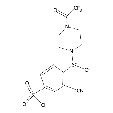 N#Cc1cc(S(=O)(=O)Cl)ccc1[S+]([O-])N1CCN(C(=O)C(F)(F)F)CC1